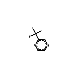 FC(F)(F)c1[c]n[c]cn1